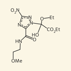 CCOC(=O)C(O)(OCC)n1nc([N+](=O)[O-])nc1C(=O)NCCOC